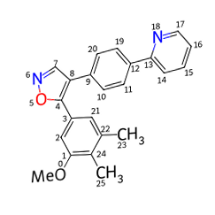 COc1cc(-c2oncc2-c2ccc(-c3ccccn3)cc2)cc(C)c1C